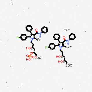 CC(C)c1c(C(=O)Nc2ccccc2)c(-c2ccccc2)c(-c2ccc(F)cc2)n1CC[C@@H](O)C[C@@H](O)CC(=O)[O-].CC(C)c1c(C(=O)Nc2ccccc2)c(-c2ccccc2)c(-c2ccc(F)cc2)n1CC[C@@H](O)C[C@H](CC(=O)[O-])OP(=O)(O)O.[Ca+2]